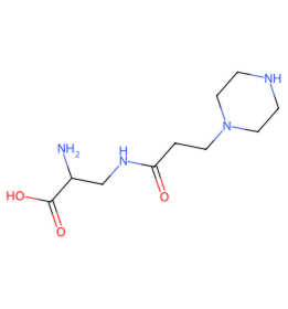 NC(CNC(=O)CCN1CCNCC1)C(=O)O